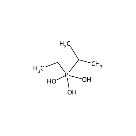 CCP(O)(O)(O)C(C)C